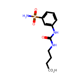 NS(=O)(=O)c1cccc(NC(=O)NCCCC(=O)O)c1